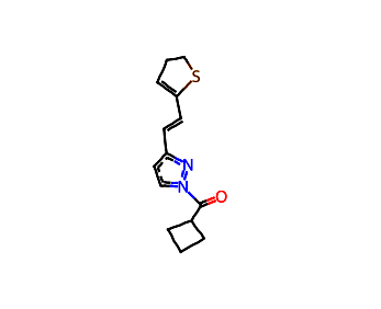 O=C(C1CCC1)n1ccc(/C=C/C2=CCCS2)n1